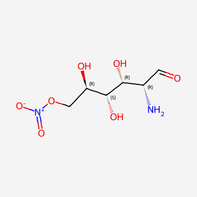 N[C@@H](C=O)[C@@H](O)[C@H](O)[C@H](O)CO[N+](=O)[O-]